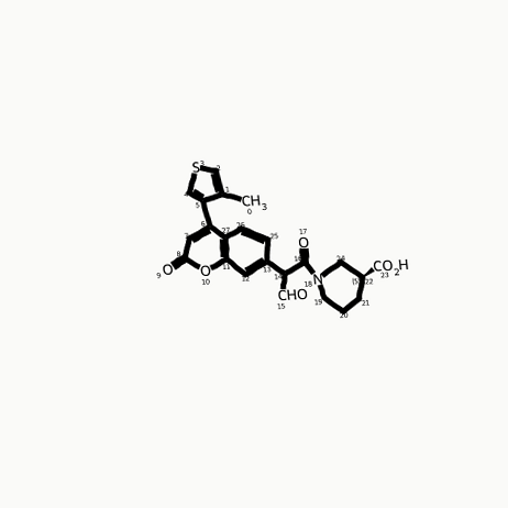 Cc1cscc1-c1cc(=O)oc2cc(C(C=O)C(=O)N3CCC[C@H](C(=O)O)C3)ccc12